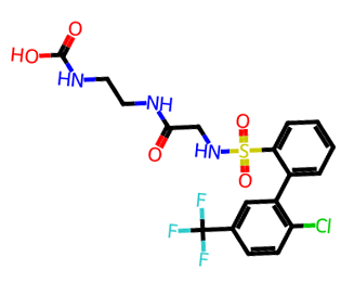 O=C(O)NCCNC(=O)CNS(=O)(=O)c1ccccc1-c1cc(C(F)(F)F)ccc1Cl